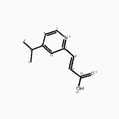 CC(C)c1ccnc(C=CC(=O)O)c1